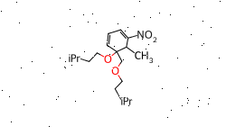 CC(C)CCOCC1(OCCC(C)C)C=CC=C([N+](=O)[O-])C1C